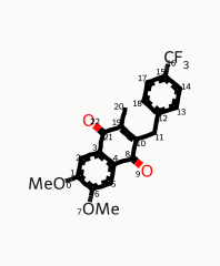 COc1cc2c(cc1OC)C(=O)C(Cc1ccc(C(F)(F)F)cc1)=C(C)C2=O